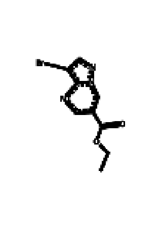 CCOC(=O)c1cnc2c(Br)cnn2c1